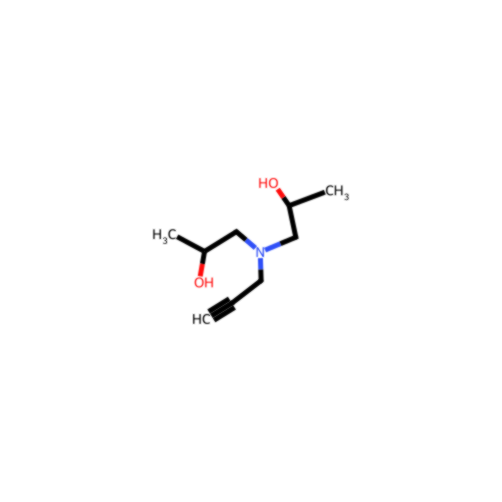 C#CCN(CC(C)O)CC(C)O